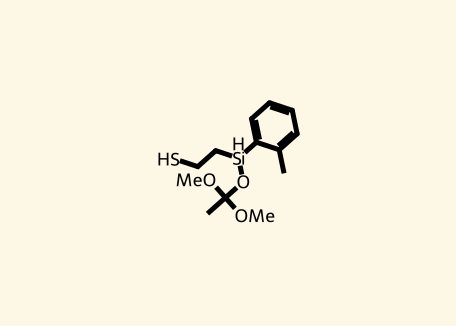 COC(C)(OC)O[SiH](CCS)c1ccccc1C